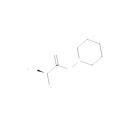 C[C@H](N)C(=O)ON1CCCCC1